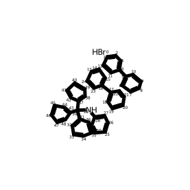 Br.c1ccc(-c2ccccc2)cc1.c1ccc(-c2ccccc2)cc1.c1ccc(NC(c2ccccc2)(c2ccccc2)c2ccccc2)cc1